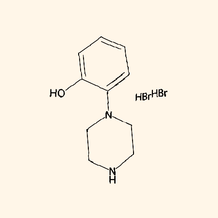 Br.Br.Oc1ccccc1N1CCNCC1